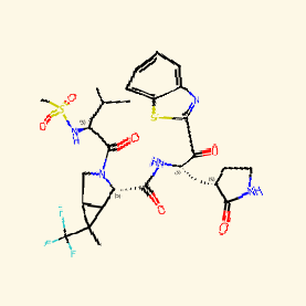 CC(C)[C@H](NS(C)(=O)=O)C(=O)N1CC2C([C@H]1C(=O)N[C@@H](C[C@@H]1CCNC1=O)C(=O)c1nc3ccccc3s1)C2(C)C(F)(F)F